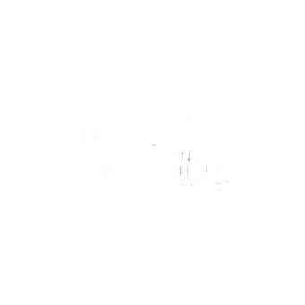 CCO[PH](=O)N(c1ccccc1)c1ccc([C@@H]2O[C@@H]2C)cc1